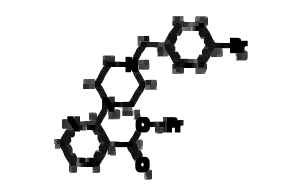 CC(C)OC(=O)c1cccnc1N1CCN(Cc2ccc(Br)cc2)CC1